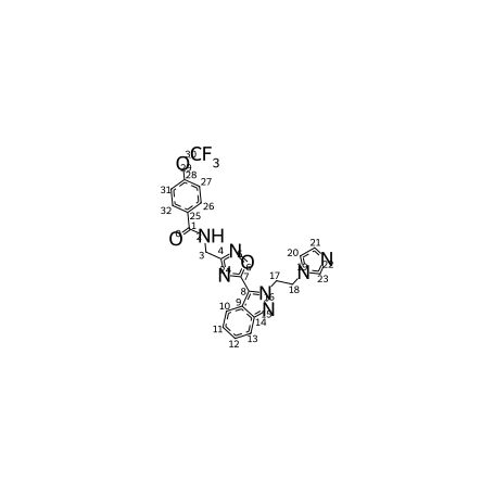 O=C(NCc1noc(-c2c3ccccc3nn2CCn2ccnc2)n1)c1ccc(OC(F)(F)F)cc1